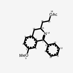 COc1ccc2c(c1)C(c1ccccc1)=NC(CCOC(C)=O)C2